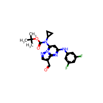 CC(C)(C)OC(=O)N(c1cc(Nc2cc(F)cc(F)c2)nc2c(C=O)cnn12)C1CC1